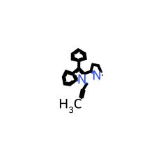 CC#CCn1c(C2CCC[N]2)c(-c2ccccc2)c2ccccc21